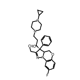 O=CCC1=NN2c3cc(F)ccc3OCC2[C@@]1(CCCN1CCN(C2CC2)CC1)c1ccccc1